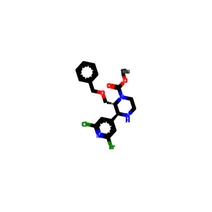 CC(C)(C)OC(=O)N1CCN[C@@H](c2cc(Cl)nc(Br)c2)[C@@H]1COCc1ccccc1